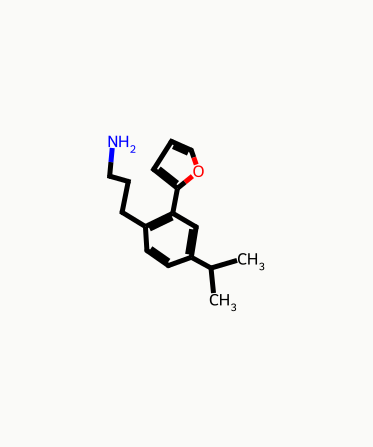 CC(C)c1ccc(CCCN)c(-c2ccco2)c1